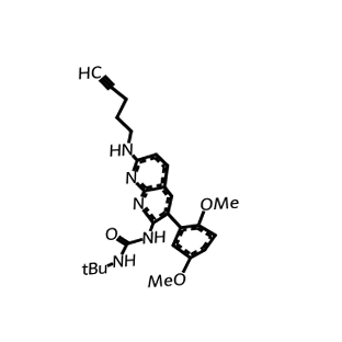 C#CCCCNc1ccc2cc(-c3cc(OC)ccc3OC)c(NC(=O)NC(C)(C)C)nc2n1